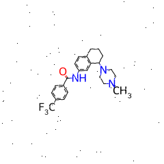 CN1CCN(C2CCCc3ccc(NC(=O)c4ccc(C(F)(F)F)cc4)cc32)CC1